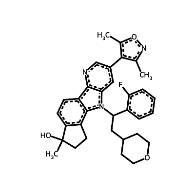 Cc1noc(C)c1-c1cnc2c3ccc4c(c3n(C(CC3CCOCC3)c3ccccc3F)c2c1)CCC4(C)O